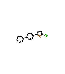 Brc1ccc(-c2ccc(-c3ccccc3)cc2)s1